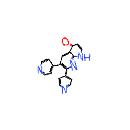 O=c1cc[nH]c2nc(-c3ccncc3)c(-c3ccncc3)cc12